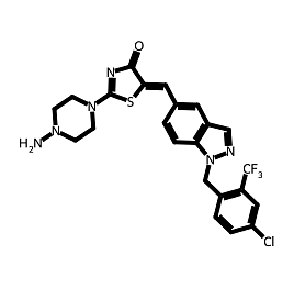 NN1CCN(C2=NC(=O)/C(=C/c3ccc4c(cnn4Cc4ccc(Cl)cc4C(F)(F)F)c3)S2)CC1